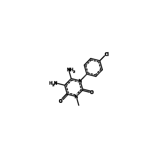 Cn1c(=O)c(N)c(N)n(-c2ccc(Cl)cc2)c1=O